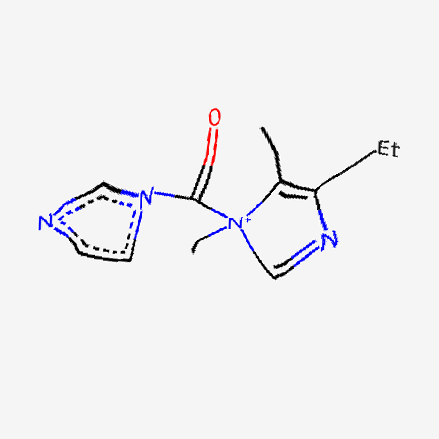 CCC1=C(C)[N+](C)(C(=O)n2ccnc2)C=N1